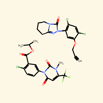 C#CCOc1cc(-n2nc3n(c2=O)CCCC3)c(Cl)cc1Cl.CC(C)OC(=O)c1cc(-n2c(=O)cc(C(F)(F)F)n(C)c2=O)ccc1Cl